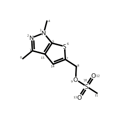 Cc1nn(C)c2sc(COS(C)(=O)=O)cc12